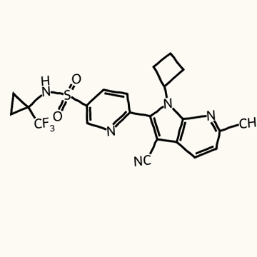 Cc1ccc2c(C#N)c(-c3ccc(S(=O)(=O)NC4(C(F)(F)F)CC4)cn3)n(C3CCC3)c2n1